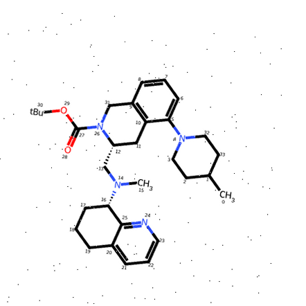 CC1CCN(c2cccc3c2C[C@H](CN(C)[C@H]2CCCc4cccnc42)N(C(=O)OC(C)(C)C)C3)CC1